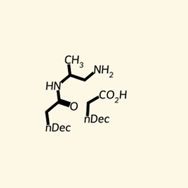 CCCCCCCCCCCC(=O)NC(C)CN.CCCCCCCCCCCC(=O)O